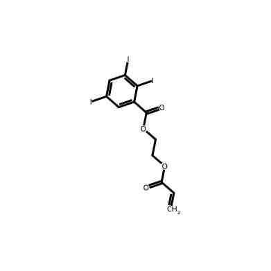 C=CC(=O)OCCOC(=O)c1cc(I)cc(I)c1I